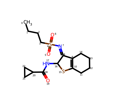 CCCCS(=O)(=O)N=C1C2=C(CCCC2)SC1NC(=O)C1CC1